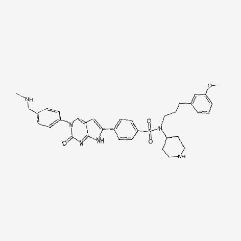 CNCc1ccc(-n2cc3cc(-c4ccc(S(=O)(=O)N(CCCc5cccc(OC)c5)C5CCNCC5)cc4)[nH]c3nc2=O)cc1